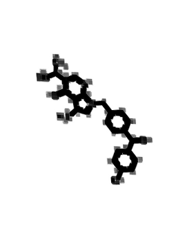 Cc1cn(Cc2ccc(C(=O)c3ccc(Cl)cc3)cc2)c2ncn(C(C)O)c(=O)c12